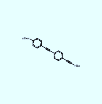 CCCCC#Cc1ccc(C#Cc2ccc(CCCCCC)cc2)cc1